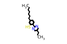 CCCCCCCc1ccc(-c2ncc(CCC)cn2)c(S)c1